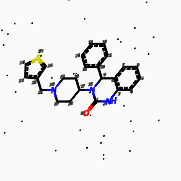 O=C1Nc2ccccc2C(c2ccccc2)N1C1CCN(Cc2ccsc2)CC1